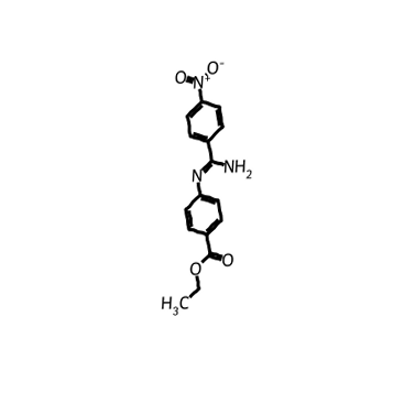 CCOC(=O)c1ccc(N=C(N)c2ccc([N+](=O)[O-])cc2)cc1